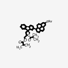 C=C(C)C(=O)OCCCC1(COC(=O)C(=C)C)c2ccccc2-c2ccc(-c3ccc4ccc5cc(C(C)(C)C)cc6ccc3c4c56)cc21